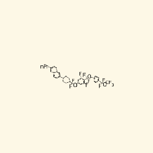 CCCc1ccc2cc(C3CCC(C(F)(F)Oc4cc(F)c(C(F)(F)Oc5ccc(C(F)(F)OC(F)(F)F)cc5)c(F)c4)CC3)ccc2c1